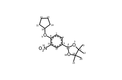 CC1(C)OB(c2ccc(OC3CCCC3)c([N+](=O)[O-])c2)OC1(C)C